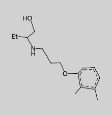 CCC(CO)NCCCOc1cccc(C)c1C